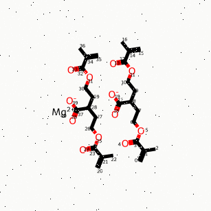 C=C(C)C(=O)OCCC(CCOC(=O)C(=C)C)C(=O)[O-].C=C(C)C(=O)OCCC(CCOC(=O)C(=C)C)C(=O)[O-].[Mg+2]